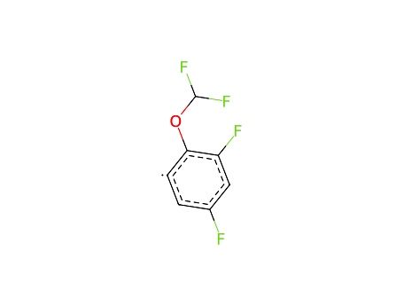 Fc1c[c]c(OC(F)F)c(F)c1